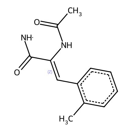 CC(=O)N/C(=C\c1ccccc1C)C([NH])=O